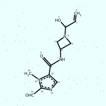 C=CC(O)N1CC(NC(=O)c2cnc(C=O)n2C)C1